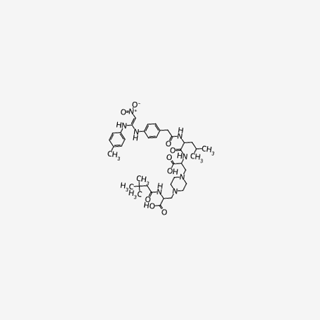 Cc1ccc(NC(=C[N+](=O)[O-])Nc2ccc(CC(=O)NC(CC(C)C)C(=O)NC(CN3CCN(CC(NC(=O)CC(C)(C)C)C(=O)O)CC3)C(=O)O)cc2)cc1